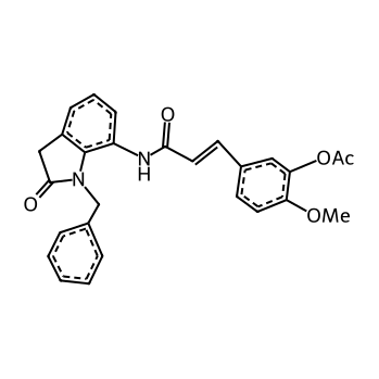 COc1ccc(C=CC(=O)Nc2cccc3c2N(Cc2ccccc2)C(=O)C3)cc1OC(C)=O